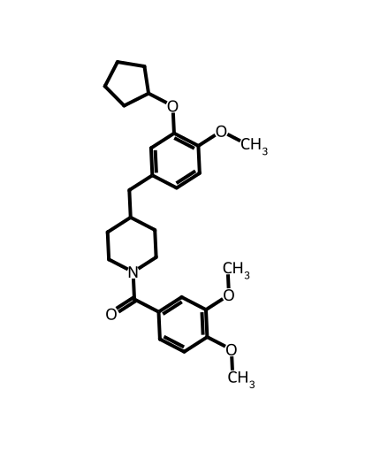 COc1ccc(C(=O)N2CCC(Cc3ccc(OC)c(OC4CCCC4)c3)CC2)cc1OC